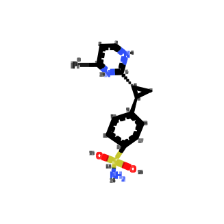 CC(C)c1ccnc([C@@H]2C[C@H]2c2ccc(S(N)(=O)=O)cc2)n1